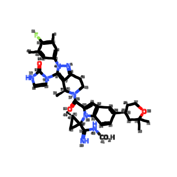 Cc1cc(-n2nc3c(c2-n2cc[nH]c2=O)[C@H](C)N(C(=O)c2cc4cc([C@H]5CCOC(C)(C)C5)ccc4n2[C@@]2(C(=N)NC(=O)O)C[C@@H]2C)CC3)cc(C)c1F